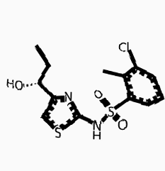 CC[C@@H](O)c1csc(NS(=O)(=O)c2cccc(Cl)c2C)n1